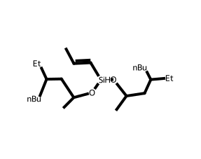 CC=C[SiH](OC(C)CC(CC)CCCC)OC(C)CC(CC)CCCC